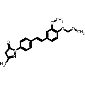 COCOc1ccc(/C=C/c2ccc(N3N=C(C)CC3=O)cc2)cc1OC